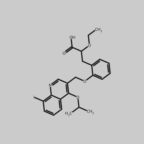 CCOC(Cc1ccccc1OCc1cnc2c(I)cccc2c1OC(C)C)C(=O)O